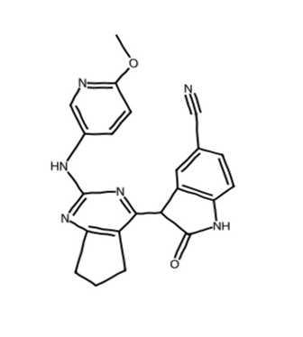 COc1ccc(Nc2nc3c(c(C4C(=O)Nc5ccc(C#N)cc54)n2)CCC3)cn1